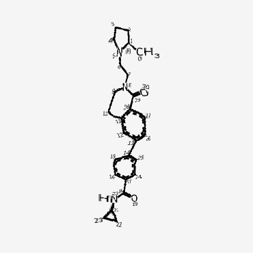 C[C@@H]1CCCN1CCN1CCc2cc(-c3ccc(C(=O)NC4CC4)cc3)ccc2C1=O